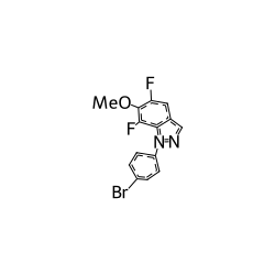 COc1c(F)cc2cnn(-c3ccc(Br)cc3)c2c1F